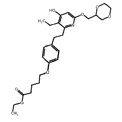 CCOC(=O)CCCCOc1ccc(CCc2nc(OCC3COCCO3)cc(O)c2CC)cc1